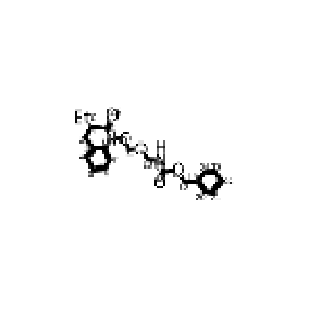 CC[C@H]1Cc2ccccc2N(OCOCNC(=O)OCc2ccccc2)C1=O